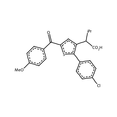 COc1ccc(C(=O)c2cc(C(C(=O)O)C(C)C)c(-c3ccc(Cl)cc3)s2)cc1